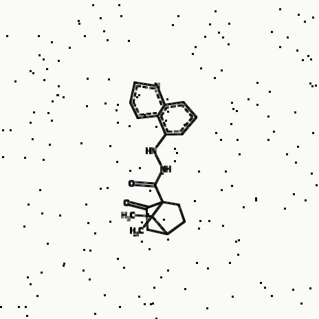 CC1(C)C2CCC1(C(=O)NNc1cccc3ncccc13)C(=O)C2